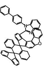 C1=CC2=C(CC1)C1(c3ccccc3C23c2ccccc2-c2ccccc23)c2cccc(-c3nc4ccccc4n3-c3ccc(-c4ccccc4)cc3)c2-c2c1ccc1oc3ccccc3c21